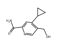 NC(=O)c1cc(C2CC2)c(CO)cn1